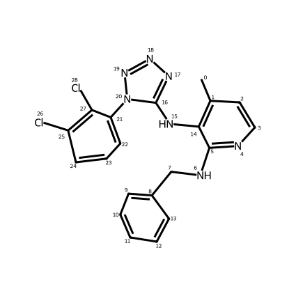 Cc1ccnc(NCc2ccccc2)c1Nc1nnnn1-c1cccc(Cl)c1Cl